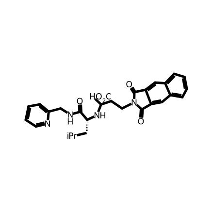 CC(C)C[C@@H](NC(CCN1C(=O)c2cc3ccccc3cc2C1=O)C(=O)O)C(=O)NCc1ccccn1